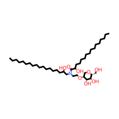 CCCCCCCCCCCCCCCCC(O)CN(CCO[C@H]1CO[C@H](CO)[C@@H](O)[C@@H]1O)C(=O)C(O)CCCCCCCCCCCCCC